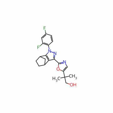 CC(C)(CO)c1cnc(-c2nn(-c3ccc(F)cc3F)c3c2C2CCC3C2)o1